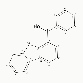 OC(c1ccccc1)c1cccc2c1Cc1ccccc1-2